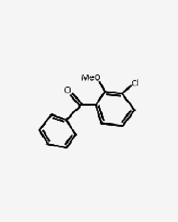 COc1c(Cl)cccc1C(=O)c1cc[c]cc1